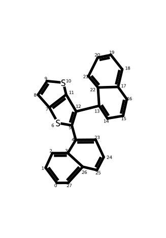 c1ccc2c(-c3sc4ccsc4c3-c3cccc4ccccc34)cccc2c1